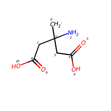 [CH2]C(N)(CC(=O)O)CC(=O)O